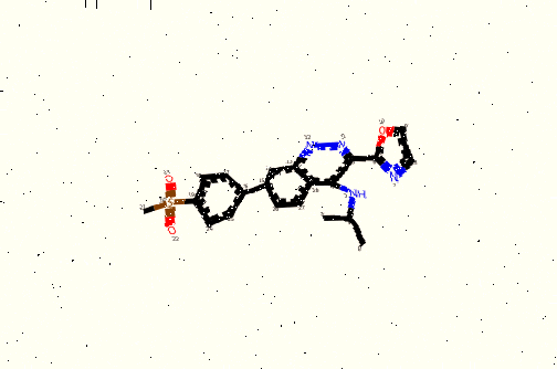 CC(C)Nc1c(-c2ncco2)nnc2cc(-c3ccc(S(C)(=O)=O)cc3)ccc12